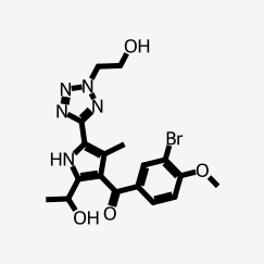 COc1ccc(C(=O)c2c(C(C)O)[nH]c(-c3nnn(CCO)n3)c2C)cc1Br